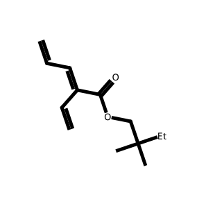 C=C/C=C(\C=C)C(=O)OCC(C)(C)CC